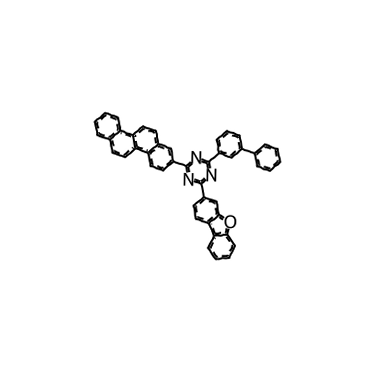 c1ccc(-c2cccc(-c3nc(-c4ccc5c(ccc6c7ccccc7ccc56)c4)nc(-c4ccc5c(c4)oc4ccccc45)n3)c2)cc1